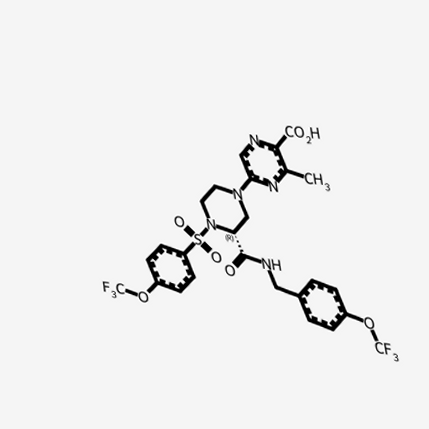 Cc1nc(N2CCN(S(=O)(=O)c3ccc(OC(F)(F)F)cc3)[C@@H](C(=O)NCc3ccc(OC(F)(F)F)cc3)C2)cnc1C(=O)O